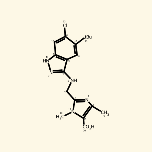 Cc1nc(CNc2n[nH]c3cc(Cl)c(C(C)(C)C)cc23)n(C)c1C(=O)O